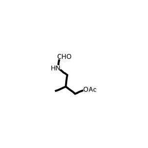 CC(=O)OCC(C)CNC=O